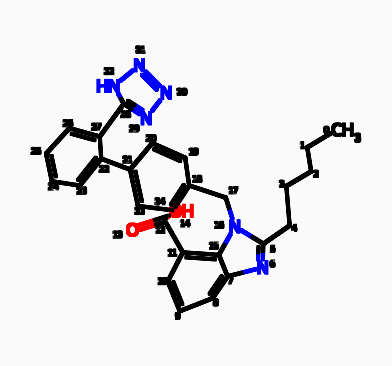 CCCCCc1nc2cccc(C(=O)O)c2n1Cc1ccc(-c2ccccc2-c2nnn[nH]2)cc1